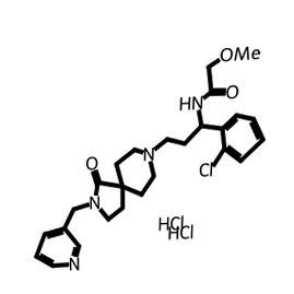 COCC(=O)NC(CCN1CCC2(CC1)CCN(Cc1cccnc1)C2=O)c1ccccc1Cl.Cl.Cl